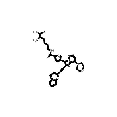 NC(=O)C(N)CCCCNC(=O)c1ccc(-c2c(C#Cc3ccc4ccccc4n3)nc3c(N4CCOCC4)ccnn23)cc1